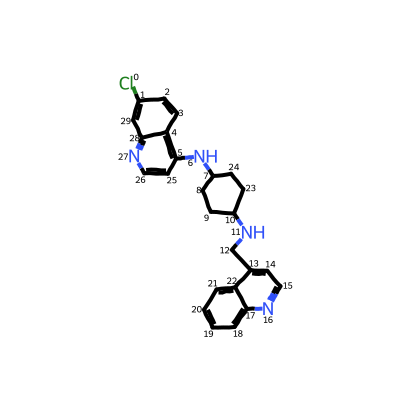 Clc1ccc2c(NC3CCC(NCc4ccnc5ccccc45)CC3)ccnc2c1